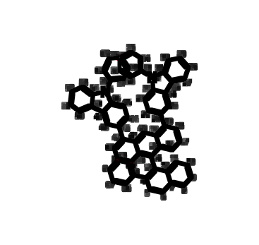 c1ccc(-c2ccc3ccccc3c2-c2c3cccc(-c4ccc5c(c4)c4ccccc4n5-c4ccccc4)c3cc3c(-c4ccc5c(c4)c4ccccc4n5-c4ccccc4)cccc23)cc1